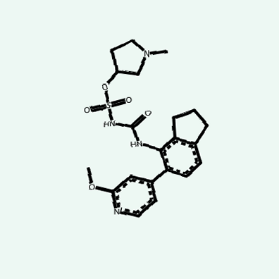 COc1cc(-c2ccc3c(c2NC(=O)NS(=O)(=O)OC2CCN(C)C2)CCC3)ccn1